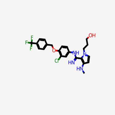 CNc1ccn(CCCO)c1C(=N)Nc1ccc(OCc2ccc(C(F)(F)F)cc2)c(Cl)c1